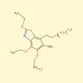 CCCc1c([SiH3])c(OCC)c(OCC)c2nc(OCC)sc12.S.S.S.S